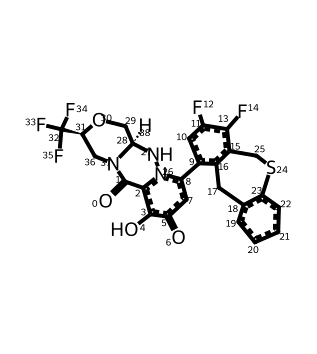 O=C1c2c(O)c(=O)cc(-c3cc(F)c(F)c4c3Cc3ccccc3SC4)n2N[C@@H]2CO[C@H](C(F)(F)F)CN12